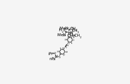 C=C(c1ccc(C#Cc2ccc(CN(CCC)CC(C)C)cc2)cc1)N(C)C(C)(C(=C)NC)C(=C)NC